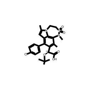 Cc1c([C@H](OC(C)(C)C)C(=O)O)c(-c2ccc(Cl)cc2)c2cc(C)n3c2c1N(C)S(=O)(=O)CC3